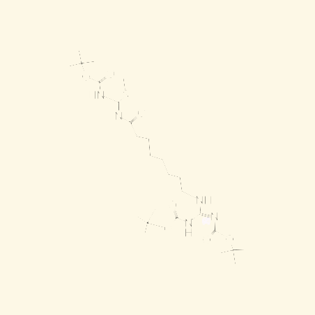 CSC(NC(=O)CCCCCCCN/C(=N/C(=O)OC(C)(C)C)NC(=O)OC(C)(C)C)NC(=O)OC(C)(C)C